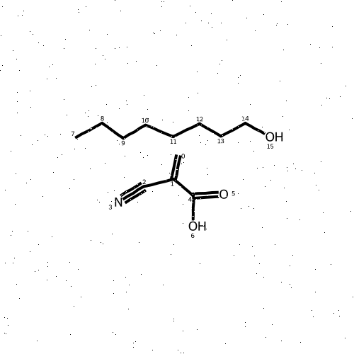 C=C(C#N)C(=O)O.CCCCCCCCO